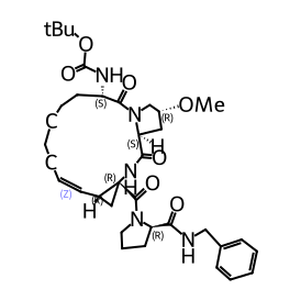 CO[C@@H]1C[C@H]2C(=O)N[C@]3(C(=O)N4CCC[C@@H]4C(=O)NCc4ccccc4)C[C@@H]3/C=C\CCCCC[C@H](NC(=O)OC(C)(C)C)C(=O)N2C1